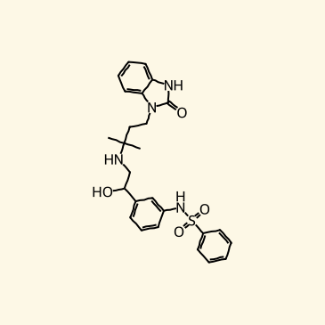 CC(C)(CCn1c(=O)[nH]c2ccccc21)NCC(O)c1cccc(NS(=O)(=O)c2ccccc2)c1